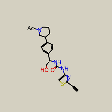 C#Cc1nc(NC(=O)N[C@@H](CO)c2ccc(C3CCCN(C(C)=O)C3)cc2)cs1